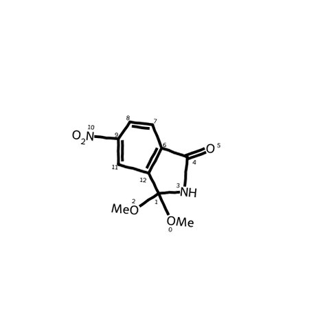 COC1(OC)NC(=O)c2ccc([N+](=O)[O-])cc21